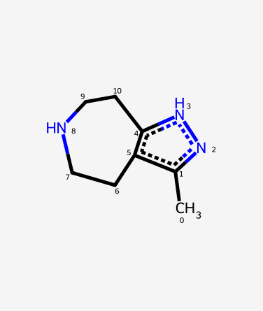 Cc1n[nH]c2c1CCNCC2